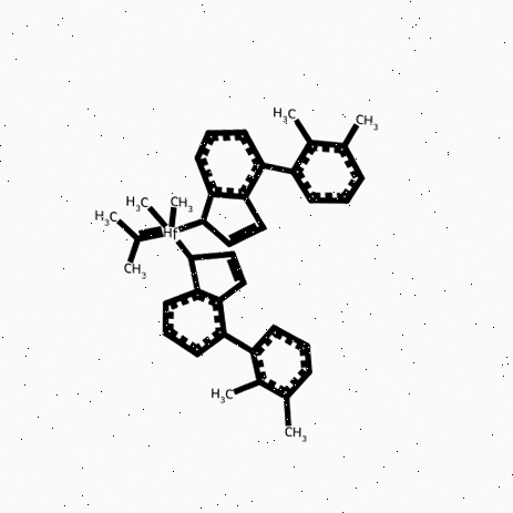 C[C](C)=[Hf]([CH3])([CH3])([CH]1C=Cc2c(-c3cccc(C)c3C)cccc21)[CH]1C=Cc2c(-c3cccc(C)c3C)cccc21